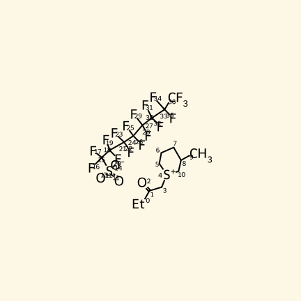 CCC(=O)C[S+]1CCCC(C)C1.O=S(=O)([O-])C(F)(F)C(F)(F)C(F)(F)C(F)(F)C(F)(F)C(F)(F)C(F)(F)C(F)(F)F